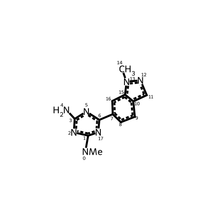 CNc1nc(N)nc(-c2ccc3cnn(C)c3c2)n1